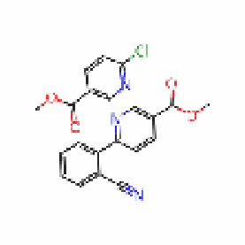 COC(=O)c1ccc(-c2ccccc2C#N)nc1.COC(=O)c1ccc(Cl)nc1